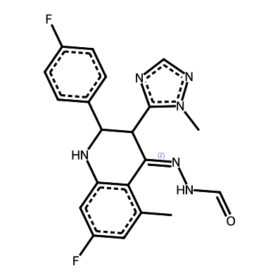 Cc1cc(F)cc2c1/C(=N\NC=O)C(c1ncnn1C)C(c1ccc(F)cc1)N2